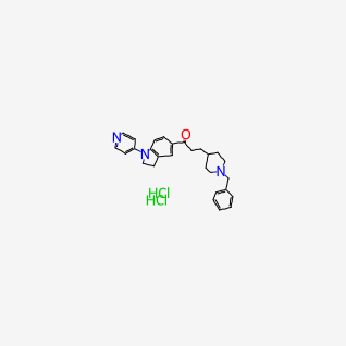 Cl.Cl.O=C(CCC1CCN(Cc2ccccc2)CC1)c1ccc2c(c1)CCN2c1ccncc1